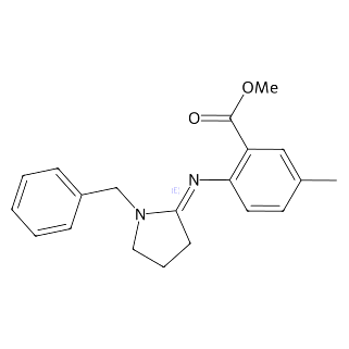 COC(=O)c1cc(C)ccc1/N=C1\CCCN1Cc1ccccc1